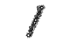 Fc1ccccc1-c1cc2sc(-c3cc4cc5cc6sc(-c7cc8sc(-c9ccccc9F)cc8s7)cc6cc5cc4s3)cc2s1